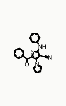 N#Cc1c(Nc2ccccc2)sc(C(=O)c2ccccc2)c1-n1cccc1